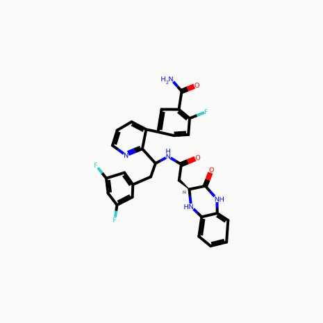 NC(=O)c1cc(-c2cccnc2C(Cc2cc(F)cc(F)c2)NC(=O)C[C@@H]2Nc3ccccc3NC2=O)ccc1F